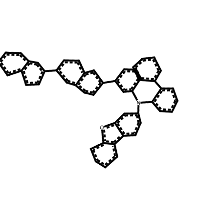 c1ccc(-c2ccccc2N(c2cccc(-c3ccc4cc(-c5ccc6ccccc6c5)ccc4c3)c2)c2ccc3c(c2)oc2ccccc23)cc1